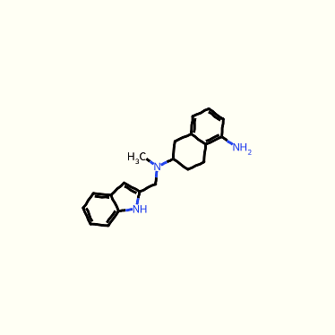 CN(Cc1cc2ccccc2[nH]1)C1CCc2c(N)cccc2C1